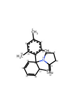 Cc1cc(C)c(C2(N3CCC[C]3=[Ru])C=CC=CC2C(C)C)c(C)c1